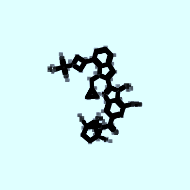 COc1cc(C(=O)N2C[C@H]3CC[C@@H]2[C@@H]3C)cc2nc(-c3cc4cccc(C5CN(S(C)(=O)=O)C5)c4n3CC3CC3)n(C)c12